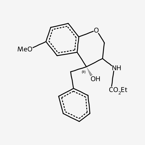 CCOC(=O)NC1COc2ccc(OC)cc2[C@]1(O)Cc1ccccc1